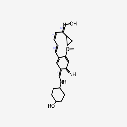 COC1=CC(=N)/C(=C\NC2CCC(O)CC2)C=C1/C=C/C=C\C(=N\O)C1CC1